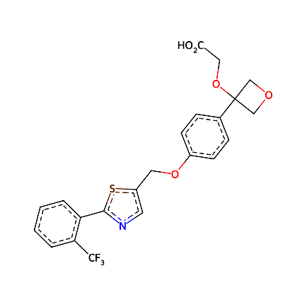 O=C(O)COC1(c2ccc(OCc3cnc(-c4ccccc4C(F)(F)F)s3)cc2)COC1